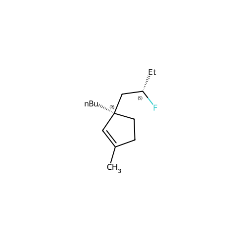 CCCC[C@@]1(C[C@@H](F)CC)C=C(C)CC1